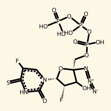 [N-]=[N+]=N[C@]1(COP(=O)(O)OP(=O)(O)OP(=O)(O)O)O[C@@H](n2cc(F)c(=S)[nH]c2=O)[C@@H](F)C1O